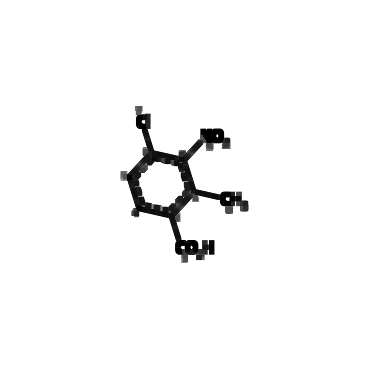 Cc1c(C(=O)O)ccc(Cl)c1[N+](=O)[O-]